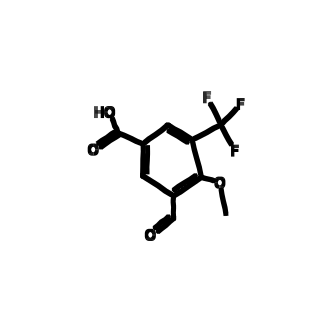 COc1c(C=O)cc(C(=O)O)cc1C(F)(F)F